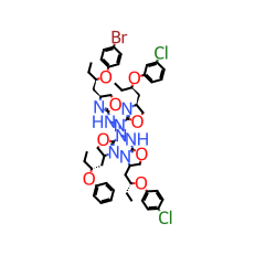 CC[C@H](CC1COC(NN(C2=NC(C[C@@H](CC)Oc3ccccc3)CO2)N(NC2=N[C@@H](C[C@@H](CC)Oc3ccc(Br)cc3)CO2)C2=N[C@@H](C[C@@H](CC)Oc3cccc(Cl)c3)CO2)=N1)Oc1ccc(Cl)cc1